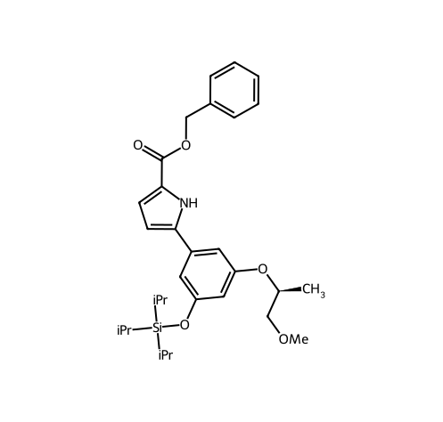 COC[C@H](C)Oc1cc(O[Si](C(C)C)(C(C)C)C(C)C)cc(-c2ccc(C(=O)OCc3ccccc3)[nH]2)c1